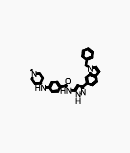 CN1CCC(Nc2ccc(C(=O)Nc3cc(-c4ccc5ccn(Cc6ccccc6)c5c4)n[nH]3)cc2)CC1